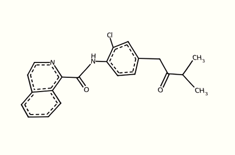 CC(C)C(=O)Cc1ccc(NC(=O)c2nccc3ccccc23)c(Cl)c1